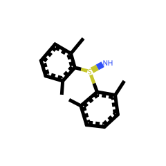 Cc1cccc(C)c1S(=N)c1c(C)cccc1C